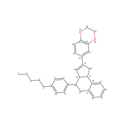 CCCCCc1ccc(C2Cc3ccccc3C3CC(c4ccc5c(c4)OCCO5)=CC23)cc1